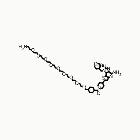 CCCCc1nc2c(N)nc3cc(C4CCN(C(=O)C5CCC(COCCOCCOCCOCCOCCOCCOCCOCCOCCN)CC5)CC4)sc3c2n1CC1CCOCC1